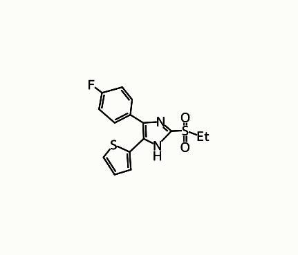 CCS(=O)(=O)c1nc(-c2ccc(F)cc2)c(-c2cccs2)[nH]1